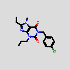 CCCn1c(=O)n(Cc2ccc(Cl)cc2)c(=O)c2c1nc(CC)n2C